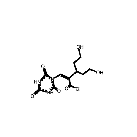 O=C(O)C(=Cn1c(=O)[nH]c(=O)[nH]c1=O)C(CCO)CCO